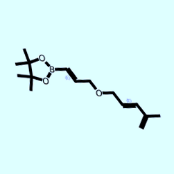 C=C(C)/C=C/COC/C=C/B1OC(C)(C)C(C)(C)O1